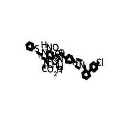 CN(CC[C@H](CSc1ccccc1)Nc1ccc(S(=O)(=O)NC(=O)c2ccc(N3CCN(Cc4ccccc4-c4ccc(Cl)cc4)CC3)cc2)cc1[N+](=O)[O-])CC(=O)O